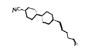 N#C[C@H]1CC[C@H]([C@H]2CC[C@H](C=CCCCF)CC2)CC1